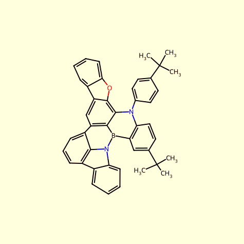 CC(C)(C)c1ccc(N2c3ccc(C(C)(C)C)cc3B3c4c(cc5c(oc6ccccc65)c42)-c2cccc4c5ccccc5n3c24)cc1